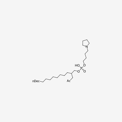 CCCCCCCCCCCCCCCCCCC(COP(=O)(O)OCCCCN1CCCC1)CC(C)=O